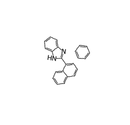 c1ccc2c(-c3nc4ccccc4[nH]3)cccc2c1.c1ccccc1